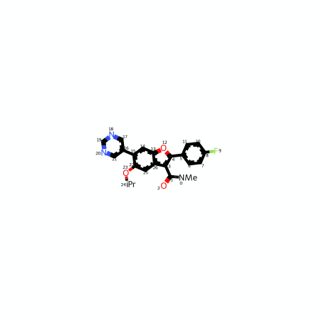 CNC(=O)c1c(-c2ccc(F)cc2)oc2cc(-c3cncnc3)c(OC(C)C)cc12